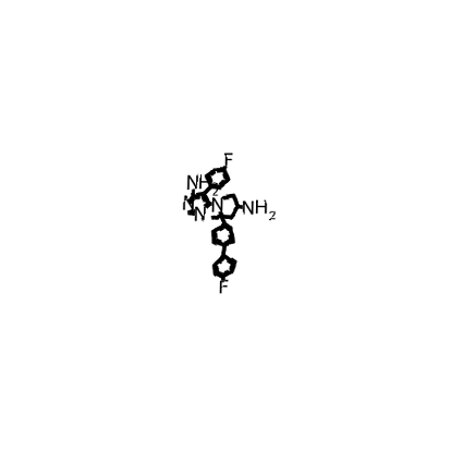 CC1(c2ccc(-c3ccc(F)cc3)cc2)CC(N)CCN1c1ncnc(N)c1-c1ccc(F)cc1